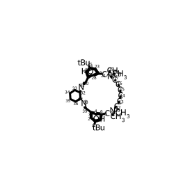 CC(C)(C)c1cc2c(O)c(c1)C[N+](C)(C)CCCCCC[N+](C)(C)Cc1cc(C(C)(C)C)cc(c1O)/C=N/C1CCCCC1/N=C/2